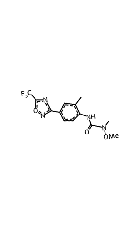 CON(C)C(=O)Nc1ccc(-c2noc(C(F)(F)F)n2)cc1C